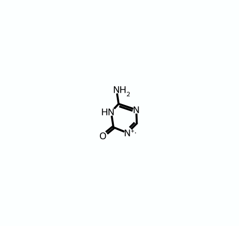 NC1=NC=[N+]C(=O)N1